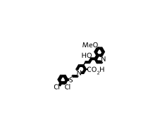 COc1ccc2nccc([C@H](O)CC[C@@H]3CCN(CCSc4cccc(Cl)c4Cl)C[C@@H]3C(=O)O)c2c1